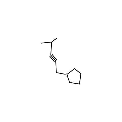 CC(C)C#CCN1CCCC1